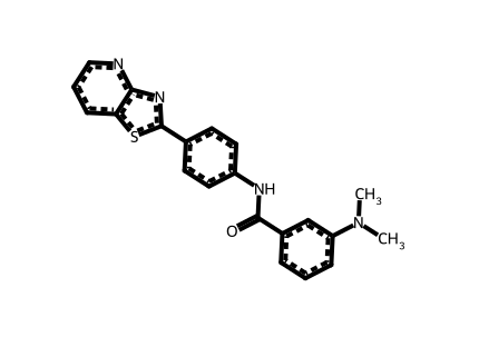 CN(C)c1cccc(C(=O)Nc2ccc(-c3nc4ncccc4s3)cc2)c1